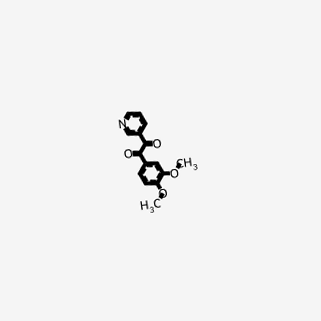 COc1ccc(C(=O)C(=O)c2cccnc2)cc1OC